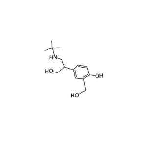 CC(C)(C)NCC(CO)c1ccc(O)c(CO)c1